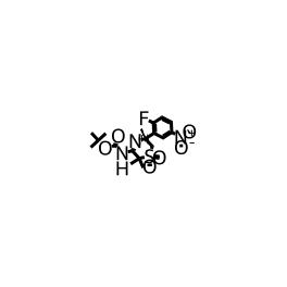 CC(C)(C)OC(=O)NC1=N[C@](C)(c2cc([N+](=O)[O-])ccc2F)CS(=O)(=O)C1(C)C